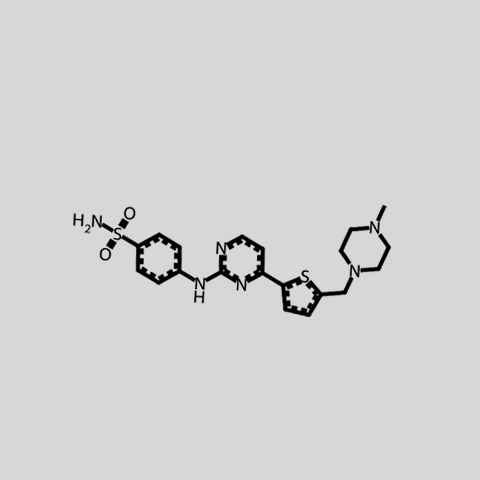 CN1CCN(Cc2ccc(-c3ccnc(Nc4ccc(S(N)(=O)=O)cc4)n3)s2)CC1